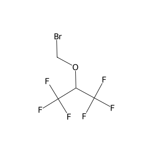 FC(F)(F)C(OCBr)C(F)(F)F